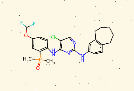 CP(C)(=O)c1cc(OC(F)F)ccc1Nc1nc(Nc2ccc3c(c2)CCCCC3)ncc1Cl